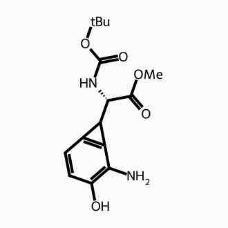 COC(=O)[C@@H](NC(=O)OC(C)(C)C)C1c2ccc(O)c(N)c21